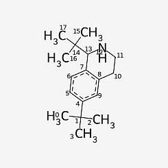 CC(C)(C)c1ccc2c(c1)CCNC2C(C)(C)C